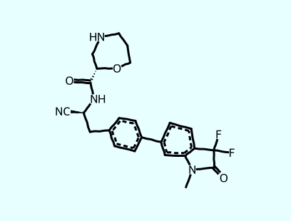 CN1C(=O)C(F)(F)c2ccc(-c3ccc(C[C@@H](C#N)NC(=O)[C@@H]4CNCCCO4)cc3)cc21